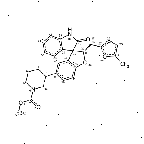 CC(C)(C)OC(=O)N1CCCC(c2ccc3c(c2)C2(C(=O)Nc4ccccc42)[C@@H](Cc2ccc(C(F)(F)F)o2)O3)C1